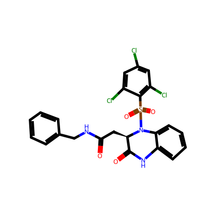 O=C(C[C@@H]1C(=O)Nc2ccccc2N1S(=O)(=O)c1c(Cl)cc(Cl)cc1Cl)NCc1ccccc1